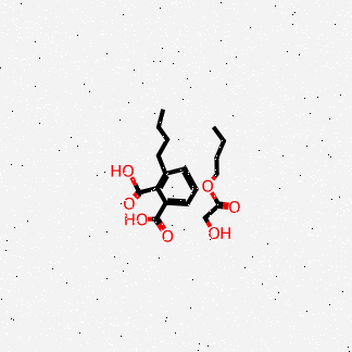 CCCCOC(=O)CO.CCCCc1cccc(C(=O)O)c1C(=O)O